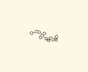 c1ccc(-c2ccc3ccc(-c4c5ccccc5c(-c5ccc6oc7c(ccc8c7ccc7oc9ccccc9c78)c6c5)c5ccccc45)cc3c2)cc1